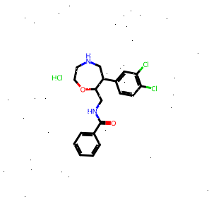 Cl.O=C(NCC1OCCNCC1c1ccc(Cl)c(Cl)c1)c1ccccc1